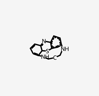 C1=CC2=Nc3ccc4cc3SC2C=C1NCCCN4